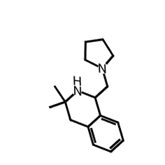 CC1(C)Cc2ccccc2C(CN2CCCC2)N1